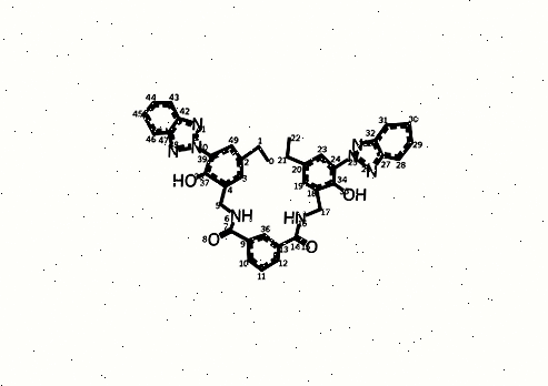 CCc1cc(CNC(=O)c2cccc(C(=O)NCc3cc(CC)cc(-n4nc5ccccc5n4)c3O)c2)c(O)c(-n2nc3ccccc3n2)c1